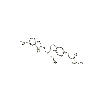 COc1ccc2cc(CCN(CCO)C3CCc4cc(C=CC(=O)NO)ccc43)[nH]c2c1